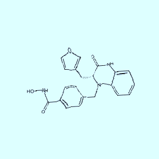 O=C(NO)c1ccc(CN2c3ccccc3NC(=O)[C@H]2Cc2ccoc2)cc1